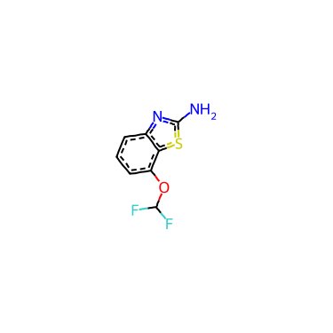 Nc1nc2cccc(OC(F)F)c2s1